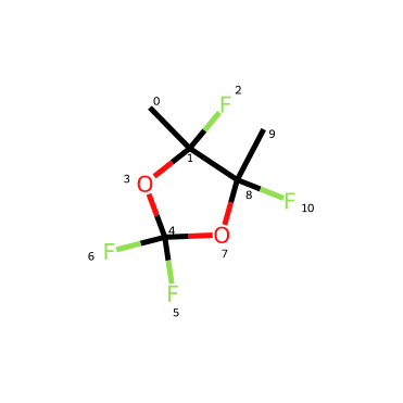 CC1(F)OC(F)(F)OC1(C)F